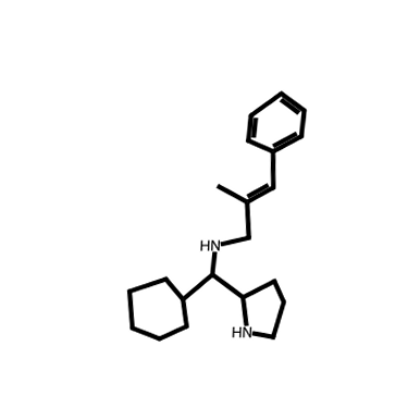 C/C(=C\c1ccccc1)CNC(C1CCCCC1)C1CCCN1